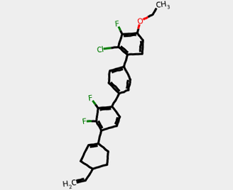 C=CC1CC=C(c2ccc(-c3ccc(-c4ccc(OCC)c(F)c4Cl)cc3)c(F)c2F)CC1